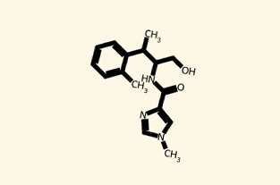 Cc1ccccc1C(C)C(CO)NC(=O)c1cn(C)cn1